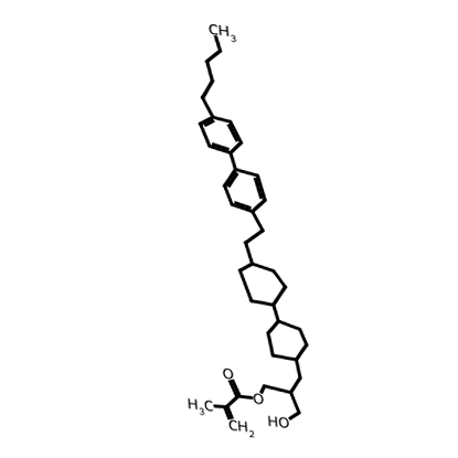 C=C(C)C(=O)OCC(CO)CC1CCC(C2CCC(CCc3ccc(-c4ccc(CCCCC)cc4)cc3)CC2)CC1